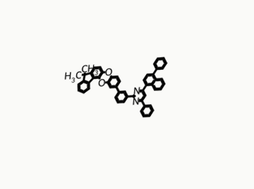 CC1(C)c2ccccc2-c2c1ccc1c2Oc2cc(-c3cccc(-c4nc(-c5ccccc5)cc(-c5ccc(-c6ccccc6)c6ccccc56)n4)c3)ccc2O1